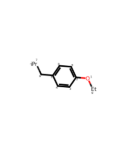 CCOc1ccc(C[C](C)C)cc1